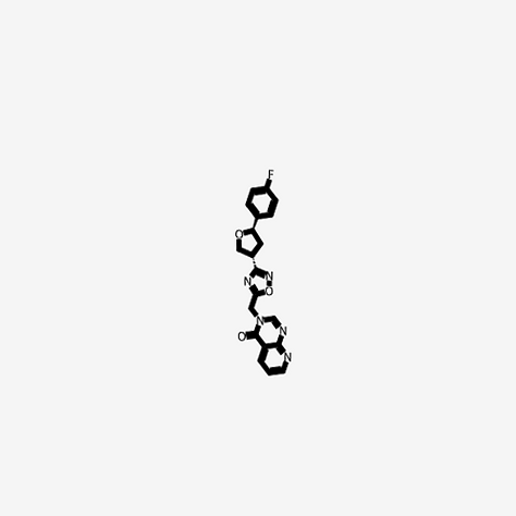 O=c1c2cccnc2ncn1Cc1nc([C@@H]2CO[C@@H](c3ccc(F)cc3)C2)no1